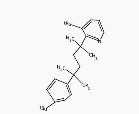 CC(C)(C)c1ccc(C(C)(C)CCC(C)(C)c2ncccc2C(C)(C)C)cc1